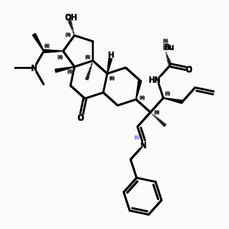 C=CC[C@H](NC(=O)[C@@H](C)CC)[C@@](C)(/C=N/Cc1ccccc1)[C@@H]1CC[C@@H]2C(C1)C(=O)C[C@]1(C)[C@@H]([C@H](C)N(C)C)[C@H](O)C[C@@]21C